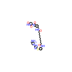 CC1(N)CCN(c2cnc(Sc3cccc(NC(=O)CCCCCCCCCCC(=O)NCc4ccc5c(c4)CN(C4CCC(=O)NC4=O)C5=O)c3)cn2)CC1